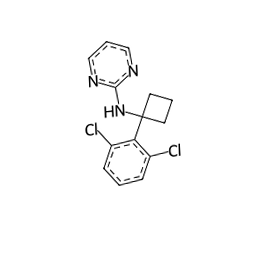 Clc1cccc(Cl)c1C1(Nc2ncccn2)CCC1